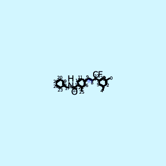 Cc1cc(C)cc(C(/C=C/c2ccc(C(=O)NCc3ccccc3)c(C)c2)C(F)(F)F)c1